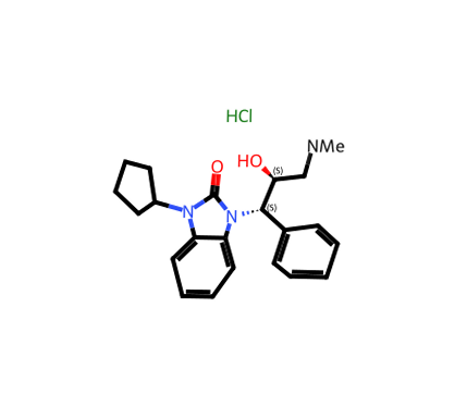 CNC[C@H](O)[C@H](c1ccccc1)n1c(=O)n(C2CCCC2)c2ccccc21.Cl